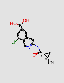 N#C[C@@H]1C[C@H]1C(=O)Nc1cc2cc(B(O)O)cc(Cl)c2cn1